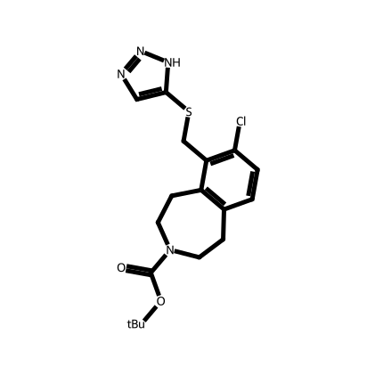 CC(C)(C)OC(=O)N1CCc2ccc(Cl)c(CSc3cnn[nH]3)c2CC1